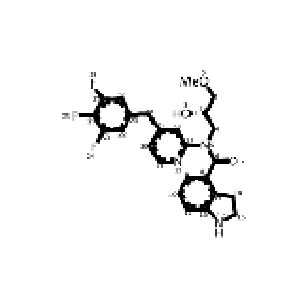 COC[C@@H](O)CN(C(=O)c1cccc2c1CCN2)c1cc(Cc2cc(F)c(F)c(F)c2)ccn1